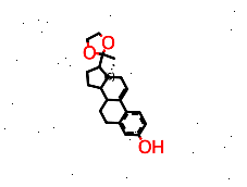 CC1(C2CCC3C4CCc5cc(O)ccc5C4=CC[C@@]32C)OCCO1